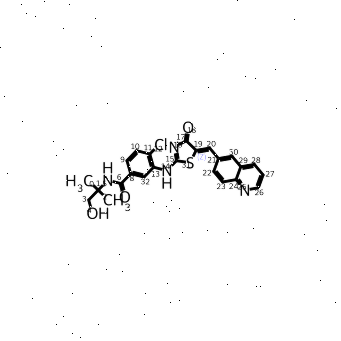 CC(C)(CO)NC(=O)c1ccc(Cl)c(NC2=NC(=O)/C(=C/c3ccc4ncccc4c3)S2)c1